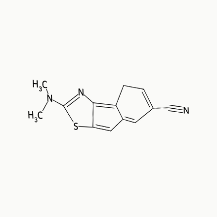 CN(C)c1nc2c(s1)=CC1=CC(C#N)=CCC=21